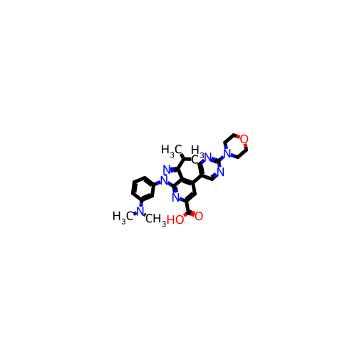 CC(C)c1nn(-c2cccc(N(C)C)c2)c2nc(C(=O)O)cc(-c3cnc(N4CCOCC4)nc3)c12